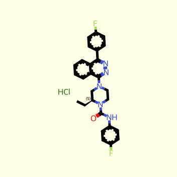 CC[C@H]1CN(c2nnc(-c3ccc(F)cc3)c3ccccc23)CCN1C(=O)Nc1ccc(F)cc1.Cl